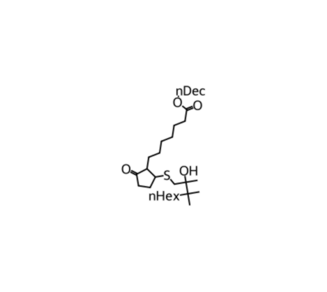 CCCCCCCCCCOC(=O)CCCCCCC1C(=O)CCC1SCC(C)(O)C(C)(C)CCCCCC